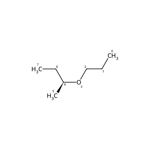 CCCO[C@@H](C)CC